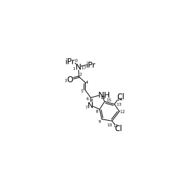 CC(C)N(C(=O)C=Cc1nc2cc(Cl)cc(Cl)c2[nH]1)C(C)C